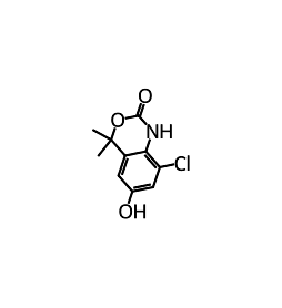 CC1(C)OC(=O)Nc2c(Cl)cc(O)cc21